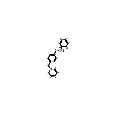 C1=CCN(Cc2ccc(CNc3ccccn3)cc2)C=C1